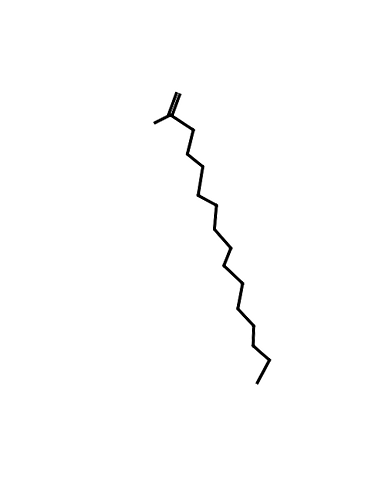 C=C(C)CCCCCCCCCCCCCC